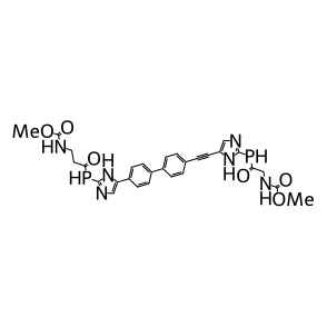 COC(=O)NCCC(=O)Pc1ncc(-c2ccc(-c3ccc(C#Cc4cnc(PC(=O)CNC(=O)OC)[nH]4)cc3)cc2)[nH]1